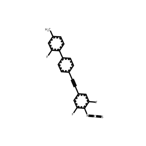 Cc1ccc(-c2ccc(C#Cc3cc(F)c(N=C=S)c(F)c3)cc2)c(F)c1